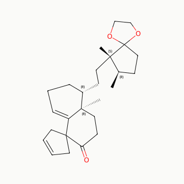 C[C@@H]1CCC2(OCCO2)[C@@]1(C)CC[C@H]1CCC=C2C3(CC=CC3)C(=O)CC[C@@]21C